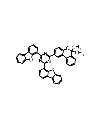 CC1(C)Oc2ccc(-c3nc(-c4cccc5c4oc4ccccc45)nc(-c4cccc5c4sc4ccccc45)n3)cc2-c2ccccc21